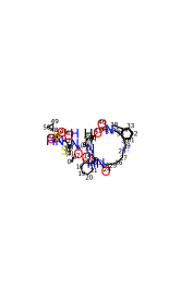 C=C[C@@H]1S[C@]1(NC(=O)[C@@H]1C[C@@H]2CN1C(=O)[C@H](C1CCCCC1)NC(=O)CCC/C=C/c1cccc3c1CN(C3)C(=O)O2)C(=O)NS(=O)(=O)C1CC1